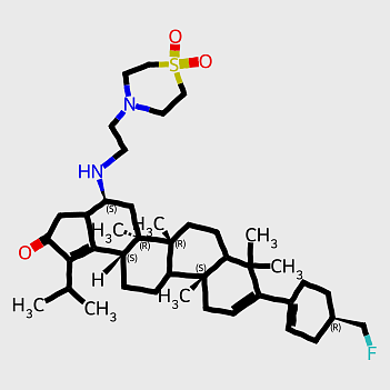 CC(C)C1=C2C(CC1=O)[C@@H](NCCN1CCS(=O)(=O)CC1)C[C@]1(C)[C@@H]2CCC2[C@@]3(C)CC=C(C4=CC[C@H](CF)CC4)C(C)(C)C3CC[C@]21C